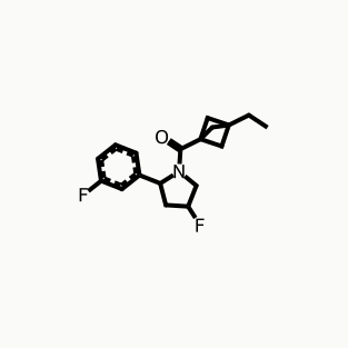 CCC12CC(C(=O)N3CC(F)CC3c3cccc(F)c3)(C1)C2